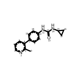 Cc1ncccc1-c1ccc(NC(=O)NC2CC2)cc1